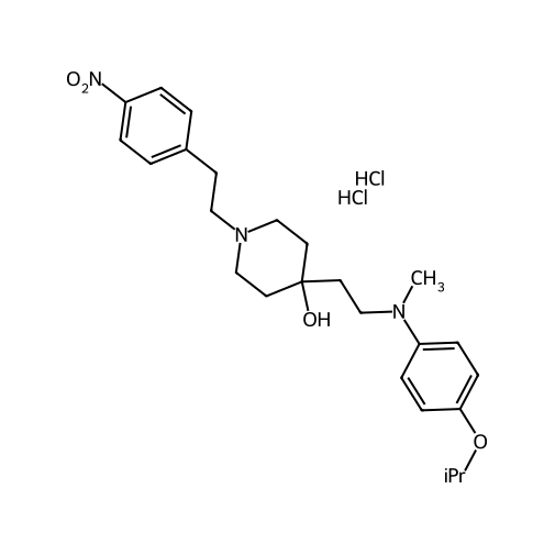 CC(C)Oc1ccc(N(C)CCC2(O)CCN(CCc3ccc([N+](=O)[O-])cc3)CC2)cc1.Cl.Cl